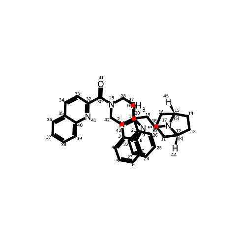 Cc1nc2ccccc2n1[C@H]1C[C@H]2CC[C@@H](C1)N2CCC1(c2ccccc2)CCN(C(=O)c2ccc3ccccc3n2)CC1